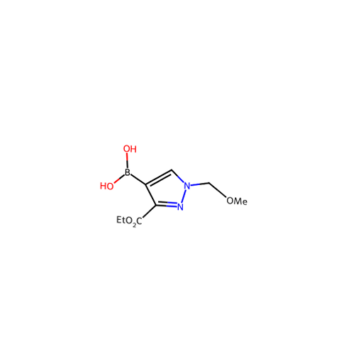 CCOC(=O)c1nn(COC)cc1B(O)O